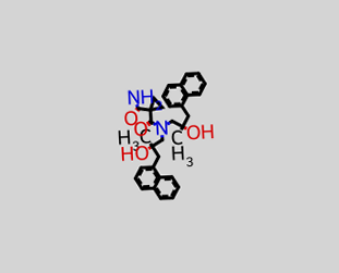 CC(O)(Cc1cccc2ccccc12)CN(CC(C)(O)Cc1cccc2ccccc12)C(=O)C1(C(N)=O)CC1